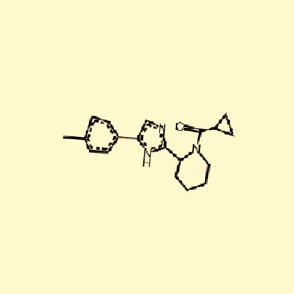 Cc1ccc(-c2cnc(C3CCCCN3C(=O)C3CC3)[nH]2)cc1